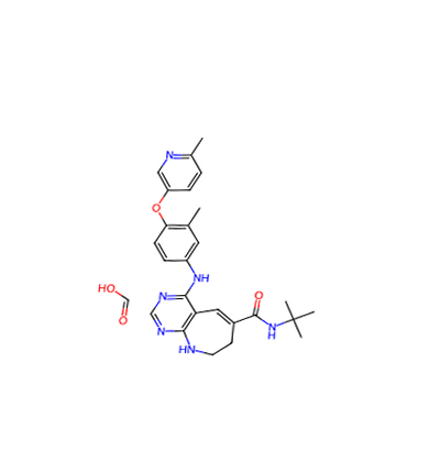 Cc1ccc(Oc2ccc(Nc3ncnc4c3C=C(C(=O)NC(C)(C)C)CCN4)cc2C)cn1.O=CO